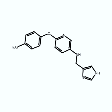 CCCCc1ccc(Oc2ccc(NCc3c[nH]cn3)cn2)cc1